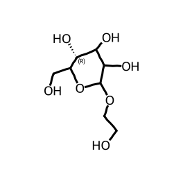 OCCOC1OC(CO)[C@H](O)C(O)C1O